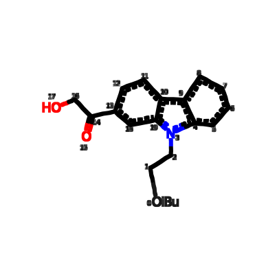 CC(C)COCCn1c2ccccc2c2ccc(C(=O)CO)cc21